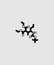 CCCC(NC(=O)OC(C)(C)C)C(C)C(C(=O)OCC)C(=O)OCC